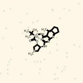 CNc1nc(N[C@H]2CN(C)C[C@@H]2OC(=O)OC(C)(C)C)nc2nc3c(c(C)c12)CCC3